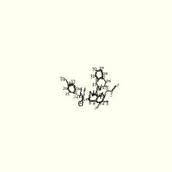 C=CCn1c(C)c(C)c2cc(C(=O)NCc3ccc(C)cc3)nc(N3CCc4ccccc4C3)c21